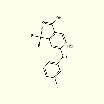 Cl.O=C(O)c1cnc(Nc2cccc(Cl)c2)cc1C(F)(F)F